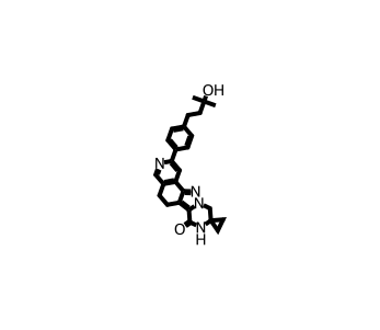 CC(C)(O)CCc1ccc(-c2cc3c(cn2)CCc2c-3nn3c2C(=O)NC2(CC2)C3)cc1